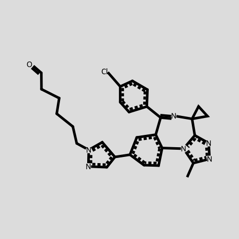 Cc1nnc2n1-c1ccc(-c3cnn(CCCCCC=O)c3)cc1C(c1ccc(Cl)cc1)=NC21CC1